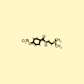 CN(C)CCNC(=O)C1CCC(O[N+](=O)[O-])CC1